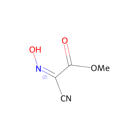 COC(=O)/C(C#N)=N\O